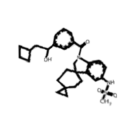 CS(=O)(=O)Nc1ccc2c(c1)C1(CCC3(CC3)CC1)CN2C(=O)c1cccc(C(O)CC2CCC2)c1